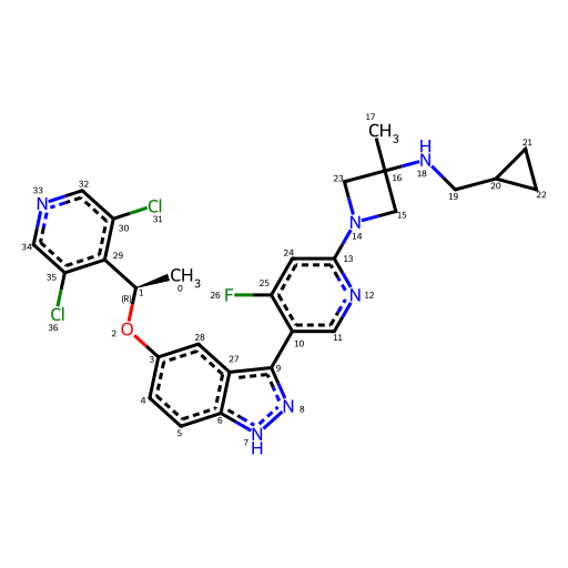 C[C@@H](Oc1ccc2[nH]nc(-c3cnc(N4CC(C)(NCC5CC5)C4)cc3F)c2c1)c1c(Cl)cncc1Cl